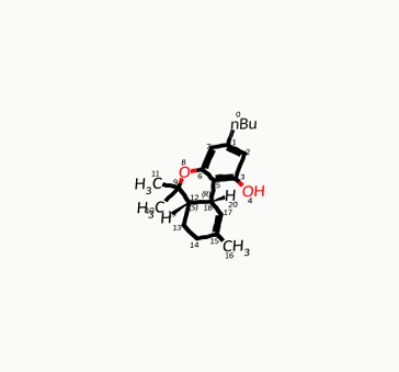 CCCCc1cc(O)c2c(c1)OC(C)(C)[C@H]1CCC(C)=C[C@@H]21